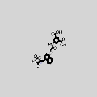 O=C(COc1ccc(/C=C2\SC(=O)NC2=O)c2ccccc12)Nc1cc(C(=O)O)cc(C(=O)O)c1